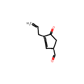 C=CCC1=CC(C=O)CC1=O